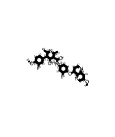 COc1cnc2c(Oc3ccc(NC(=O)c4c(C)nc(C)c(-c5ccc(OC)c(F)c5)c4O)cc3F)ccnc2c1